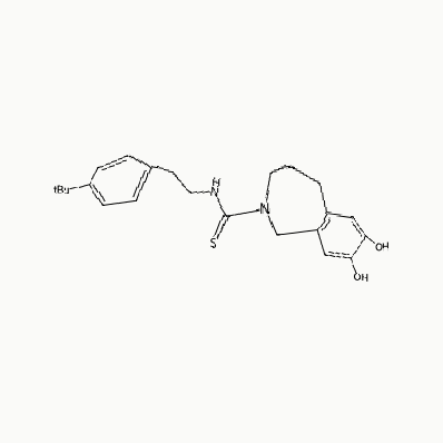 CC(C)(C)c1ccc(CCNC(=S)N2CCCc3cc(O)c(O)cc3C2)cc1